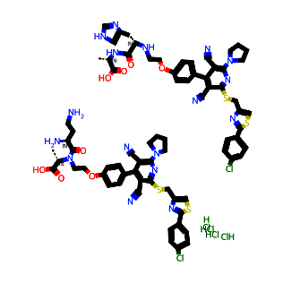 C[C@@H](C(=O)O)N(CCOc1ccc(-c2c(C#N)c(SCc3csc(-c4ccc(Cl)cc4)n3)nc(N3CCCC3)c2C#N)cc1)C(=O)[C@@H](N)CCN.C[C@H](NC(=O)[C@H](Cc1c[nH]cn1)NCCOc1ccc(-c2c(C#N)c(SCc3csc(-c4ccc(Cl)cc4)n3)nc(N3CCCC3)c2C#N)cc1)C(=O)O.Cl.Cl.Cl.Cl